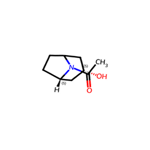 CC(=O)N1C2CC[C@H]1C[C@@H](O)C2